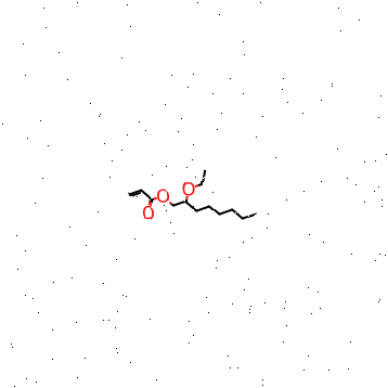 C=CC(=O)OCC(CCCCCC)OCC